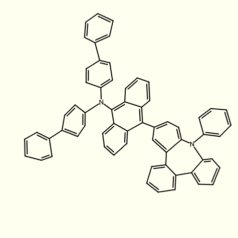 c1ccc(-c2ccc(N(c3ccc(-c4ccccc4)cc3)c3c4ccccc4c(-c4ccc5c(c4)-c4ccccc4-c4ccccc4N5c4ccccc4)c4ccccc34)cc2)cc1